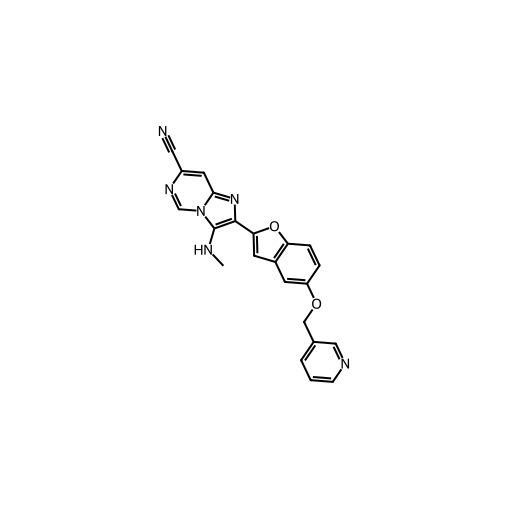 CNc1c(-c2cc3cc(OCc4cccnc4)ccc3o2)nc2cc(C#N)ncn12